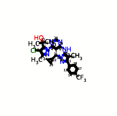 Cc1nn(-c2cc(Nc3c(C)c(-c4ccc(C(F)(F)F)cc4)nn3CC3CC3)ncn2)c(C(C)(C)O)c1Cl